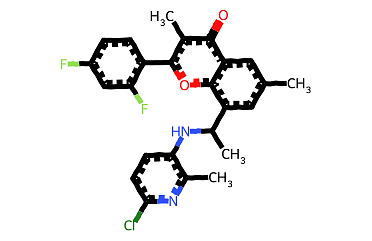 Cc1cc(C(C)Nc2ccc(Cl)nc2C)c2oc(-c3ccc(F)cc3F)c(C)c(=O)c2c1